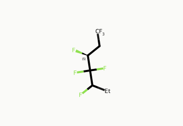 [CH2]CC(F)C(F)(F)[C@@H](F)CC(F)(F)F